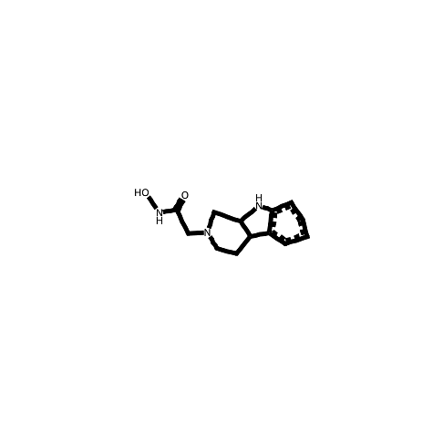 O=C(CN1CCC2c3ccccc3NC2C1)NO